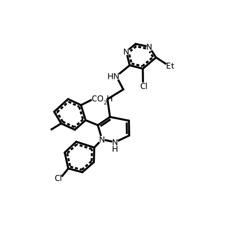 CCc1ncnc(NCCC2=C(c3cc(C)ccc3C(=O)O)N(c3ccc(Cl)cc3)NC=C2)c1Cl